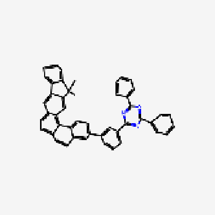 CC1(C)c2ccccc2-c2cc3ccc4ccc5cc(-c6cccc(-c7nc(-c8ccccc8)nc(-c8ccccc8)n7)c6)ccc5c4c3cc21